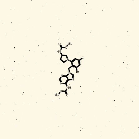 CC(C)(C)OC(=O)Nc1ncnc2c1ncn2Cc1c(Br)cc(Cl)cc1N1CCC(NC(=O)OC(C)(C)C)C1